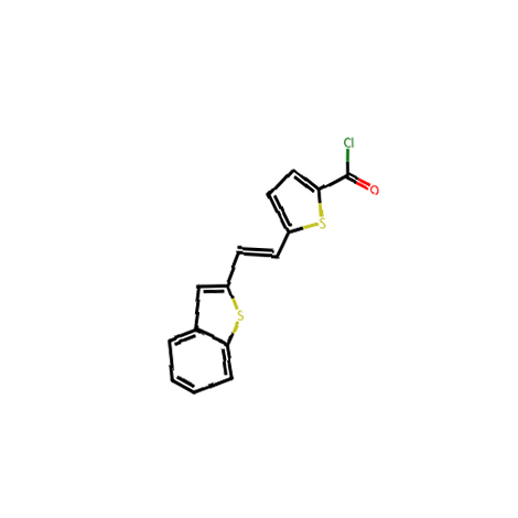 O=C(Cl)c1ccc(C=Cc2cc3ccccc3s2)s1